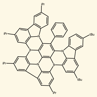 CC(C)c1ccc2c(c1)c1cc(C(C)C)cc3c1n2-c1c2c4c5c(c1-c1ccccc1)-n1c6ccc(C(C)(C)C)cc6c6cc(C(C)(C)C)cc(c61)B5c1cc(C(C)C)cc5c6cc(C(C)C)cc(c6n-4c15)B23